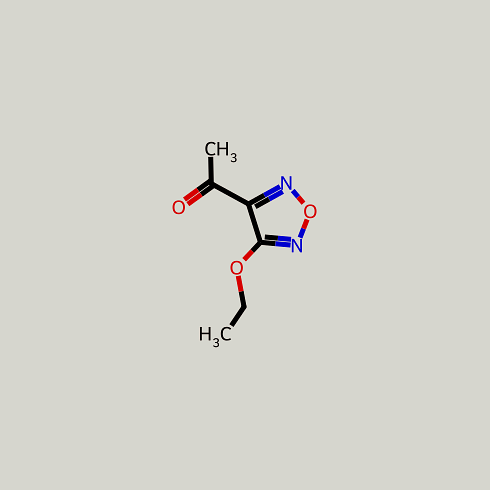 CCOc1nonc1C(C)=O